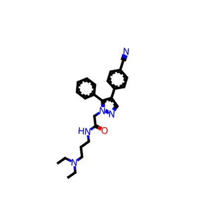 CCN(CC)CCCNC(=O)Cn1ncc(-c2ccc(C#N)cc2)c1-c1ccccc1